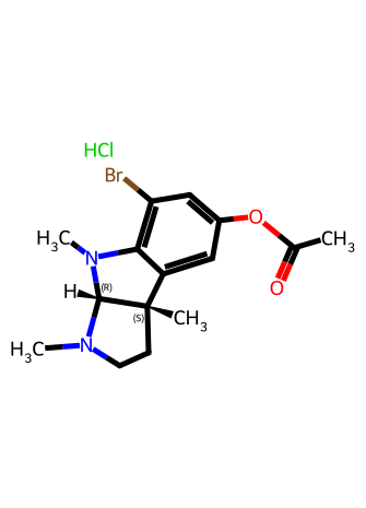 CC(=O)Oc1cc(Br)c2c(c1)[C@]1(C)CCN(C)[C@@H]1N2C.Cl